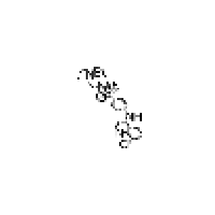 CCN1CCCC1CNS(=O)(=O)c1ccc(Nc2ccnc3c(Cl)cccc23)cc1